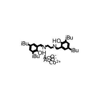 CC(=O)[O-].CC(=O)[O-].CCC(C)c1cc(C=NCCN=Cc2cc(C(C)CC)cc(C(C)CC)c2O)c(O)c(C(C)CC)c1.[Co+2]